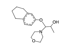 CC(O)C(Oc1ccc2c(c1)CCCC2)N1CCOCC1